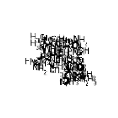 CC[C@H](C)[C@H](NC(=O)[C@@H](CCCNC(=N)N)NC(=O)[C@H](CC(C)C)NC(=O)[C@@H](C)[C@H](O)C(C)C)C(=O)NC(C(=O)NCC(=O)N[C@H](C(=O)N[C@@H](CO)C(=O)O[C@H](c1ccccc1)[C@H](NC(=O)[C@H](Cc1cccnc1)NC(=O)[C@H](N)C[Si](C)(C)C)C(N)=O)[C@H](O)C(N)=O)[C@H](C)O